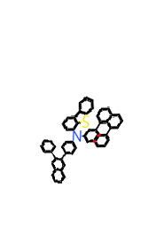 c1ccc(-c2cc3ccccc3cc2-c2ccc(N(c3cccc(-c4cccc5cccc(-c6ccccc6)c45)c3)c3cccc4c3sc3ccccc34)cc2)cc1